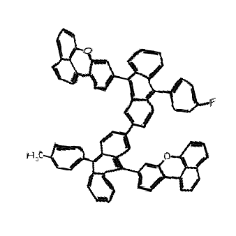 Cc1ccc(-c2c3ccccc3c(-c3ccc4c(c3)Oc3cccc5cccc-4c35)c3cc(-c4ccc5c(-c6ccc(F)cc6)c6ccccc6c(-c6ccc7c(c6)Oc6cccc8cccc-7c68)c5c4)ccc23)cc1